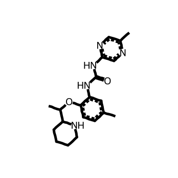 Cc1ccc(OC(C)C2CCCCN2)c(NC(=O)Nc2cnc(C)cn2)c1